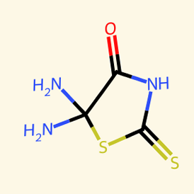 NC1(N)SC(=S)NC1=O